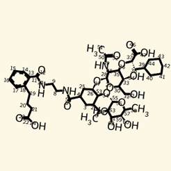 CCC1CC(C(=O)NCCNC(=O)c2ccccc2CCCC(=O)O)C[C@@H](O[C@@H]2OC(CO)[C@H](O)C(O[C@@H](CC3CCCCC3)C(=O)O)C2NC(C)=O)C1O[C@@H]1OC(C)[C@@H](O)C(O)C1O